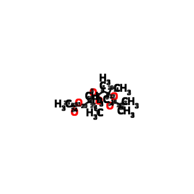 CCC(OC(=O)C(C)C(C)(CC)OC(=O)C(C)C)C(C)COC(C)=O